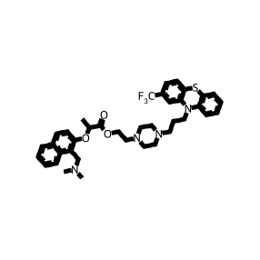 CC(Oc1ccc2ccccc2c1CN(C)C)C(=O)OCCN1CCN(CCCN2c3ccccc3Sc3ccc(C(F)(F)F)cc32)CC1